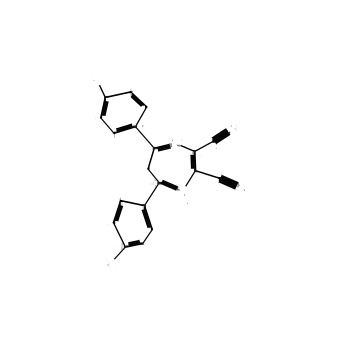 N#CC1=C(C#N)N=C(c2ccc(Br)cc2)CC(c2ccc(Br)cc2)=N1